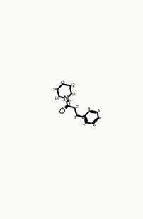 O=C(CCc1ccccc1)N1CCCCC1